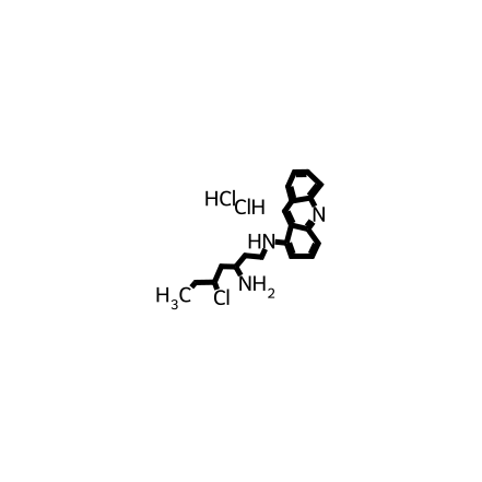 CCC(Cl)CC(N)CCNc1cccc2nc3ccccc3cc12.Cl.Cl